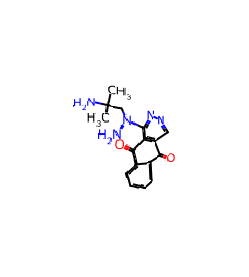 CC(C)(N)CN(N)c1nncc2c1C(=O)c1ccccc1C2=O